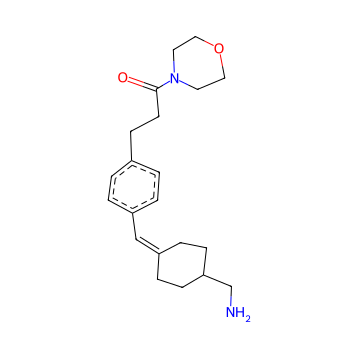 NCC1CCC(=Cc2ccc(CCC(=O)N3CCOCC3)cc2)CC1